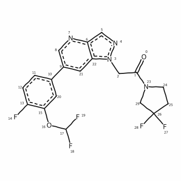 O=C(Cn1ncc2ncc(-c3ccc(F)c(OC(F)F)c3)cc21)N1CCC(F)(F)C1